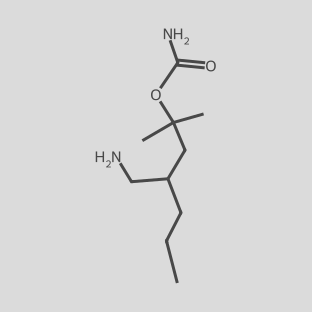 CCCC(CN)CC(C)(C)OC(N)=O